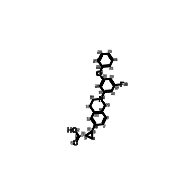 O=C(O)[C@H]1C[C@@H]1c1ccc2c(c1)CCN(c1cc(F)cc(Oc3ccccc3)c1)C2